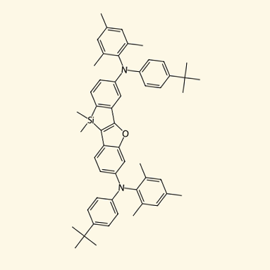 Cc1cc(C)c(N(c2ccc(C(C)(C)C)cc2)c2ccc3c(c2)-c2oc4cc(N(c5ccc(C(C)(C)C)cc5)c5c(C)cc(C)cc5C)ccc4c2[Si]3(C)C)c(C)c1